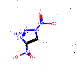 N.O=[N+]([O-])c1cn([N+](=O)[O-])nn1